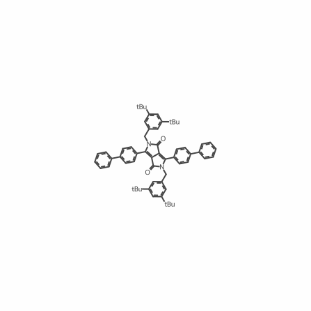 CC(C)(C)c1cc(CN2C(=O)C3=C(c4ccc(-c5ccccc5)cc4)N(Cc4cc(C(C)(C)C)cc(C(C)(C)C)c4)C(=O)C3=C2c2ccc(-c3ccccc3)cc2)cc(C(C)(C)C)c1